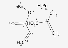 C=C(C)C(=O)O.C=CC(=O)OCCCC.[PoH2]